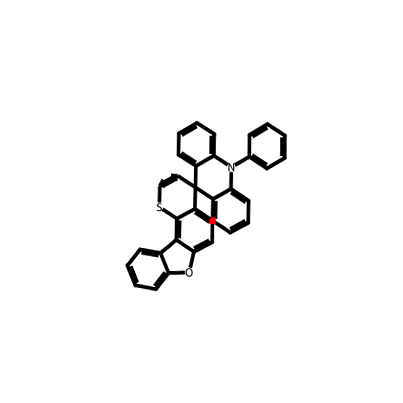 c1ccc(N2c3ccccc3C3(c4ccccc4Sc4c3ccc3oc5ccccc5c43)c3ccccc32)cc1